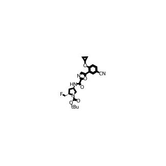 CC(C)(C)OC(=O)N1C[C@H](NC(=O)c2ncc(-c3cc(C#N)ccc3OC3CC3)o2)C[C@H]1CF